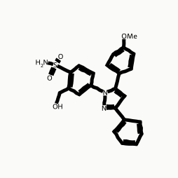 COc1ccc(-c2cc(-c3ccccc3)nn2-c2ccc(S(N)(=O)=O)c(CO)c2)cc1